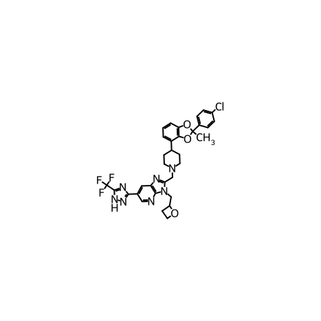 CC1(c2ccc(Cl)cc2)Oc2cccc(C3CCN(Cc4nc5cc(-c6n[nH]c(C(F)(F)F)n6)cnc5n4CC4CCO4)CC3)c2O1